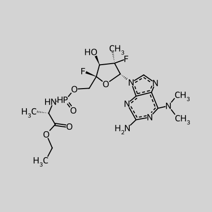 CCOC(=O)[C@H](C)N[PH](=O)OC[C@@]1(F)O[C@@H](n2cnc3c(N(C)C)nc(N)nc32)[C@](C)(F)[C@@H]1O